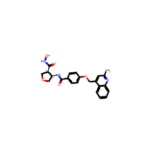 Cc1cc(COc2ccc(C(=O)N[C@H]3COC[C@H]3C(=O)NO)cc2)c2ccccc2n1